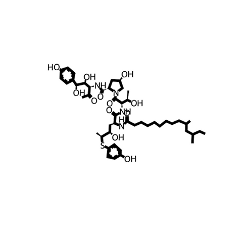 CCC(C)CC(C)CCCCCCCCC(=O)N[C@@H](C[C@@H](O)[C@H](C)Sc1ccc(O)cc1)C(=O)N[C@H](C(=O)N1C[C@H](O)C[C@H]1C(=O)N[C@H](C(C)=O)[C@H](O)[C@@H](O)c1ccc(O)cc1)[C@@H](C)O